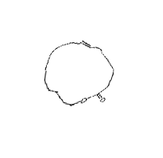 O=C1CCCC/C=C/CCCCCCCCCO1